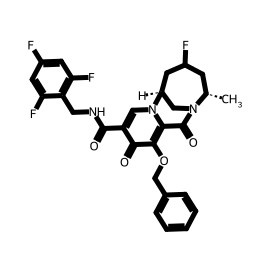 C[C@H]1CC(F)C[C@H]2CN1C(=O)c1c(OCc3ccccc3)c(=O)c(C(=O)NCc3c(F)cc(F)cc3F)cn12